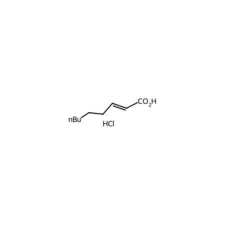 CCCCCCC=CC(=O)O.Cl